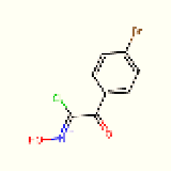 O=C(/C(Cl)=N/O)c1ccc(Br)cc1